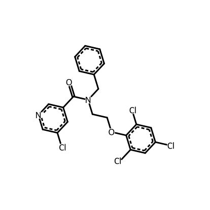 O=C(c1cncc(Cl)c1)N(CCOc1c(Cl)cc(Cl)cc1Cl)Cc1ccccc1